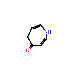 O=C1C=CNC=CC1